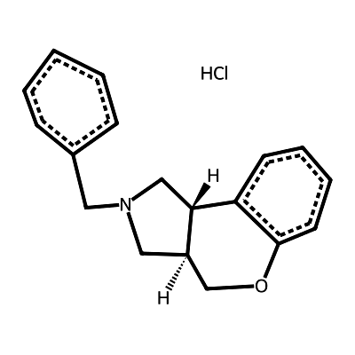 Cl.c1ccc(CN2C[C@@H]3COc4ccccc4[C@H]3C2)cc1